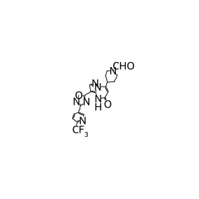 O=CN1CCC(c2cc(=O)[nH]c3c(-c4nc(-c5ccc(C(F)(F)F)nc5)no4)cnn23)CC1